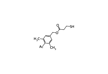 CC(=O)c1c(C)cc(COC(=O)CCS)cc1C